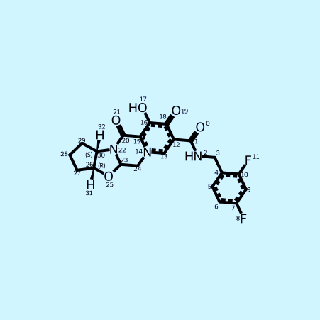 O=C(NCc1ccc(F)cc1F)c1cn2c(c(O)c1=O)C(=O)N1C(C2)O[C@@H]2CCC[C@@H]21